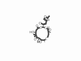 CC[C@H]1C(=O)C(C)(C)[C@@H](O)CC(=O)O[C@H](C(Cl)=Cc2coc(C)n2)C[C@@H]2O[C@]2(C)CCC[C@H](C)[C@@H]1O